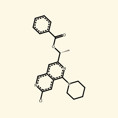 C[C@@H](OC(=O)c1ccccc1)c1cc2cnc(Cl)cc2c(N2CCCCC2)n1